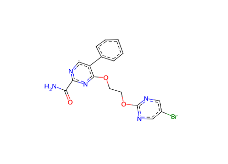 NC(=O)c1n[c]c(-c2ccccc2)c(OCCOc2ncc(Br)cn2)n1